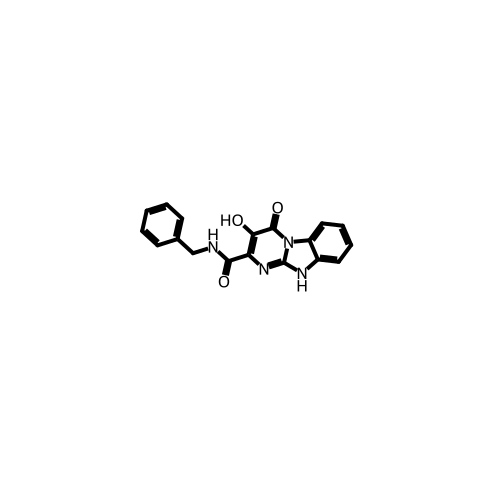 O=C(NCc1ccccc1)c1nc2[nH]c3ccccc3n2c(=O)c1O